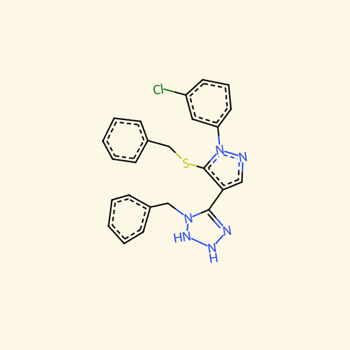 Clc1cccc(-n2ncc(C3=NNNN3Cc3ccccc3)c2SCc2ccccc2)c1